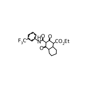 CCOC(=O)C1C(=O)C(C(=O)Nc2cccc(C(F)(F)F)c2)C(=O)C2CCCCC21